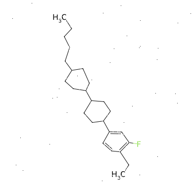 CCCCCC1CCC(C2CCC(c3ccc(CC)c(F)c3)CC2)CC1